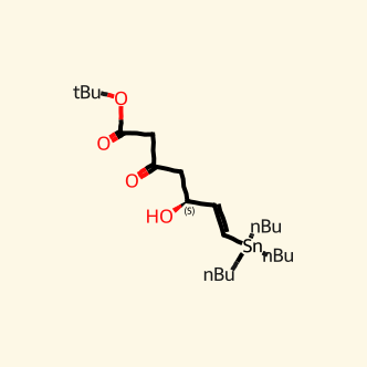 CCC[CH2][Sn]([CH]=C[C@@H](O)CC(=O)CC(=O)OC(C)(C)C)([CH2]CCC)[CH2]CCC